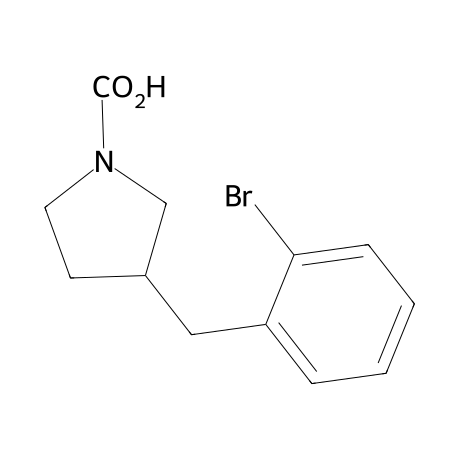 O=C(O)N1CCC(Cc2ccccc2Br)C1